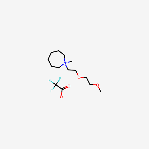 COCCOCC[N+]1(C)CCCCCC1.O=C([O-])C(F)(F)F